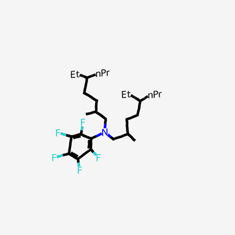 CCCC(CC)CCC(C)CN(CC(C)CCC(CC)CCC)c1c(F)c(F)c(F)c(F)c1F